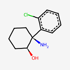 N[C@]1(c2ccccc2Cl)CCCC[C@@H]1O